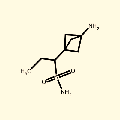 CCC(C12CC(N)(C1)C2)S(N)(=O)=O